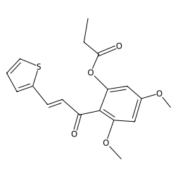 CCC(=O)Oc1cc(OC)cc(OC)c1C(=O)C=Cc1cccs1